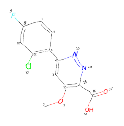 COc1cc(-c2ccc(F)cc2Cl)nnc1C(=O)O